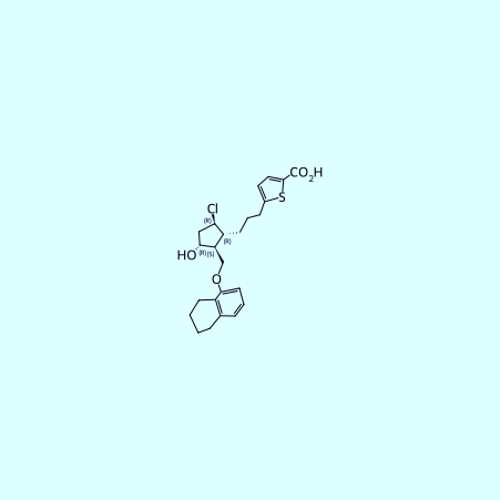 O=C(O)c1ccc(CCC[C@@H]2[C@@H](COc3cccc4c3CCCC4)[C@H](O)C[C@H]2Cl)s1